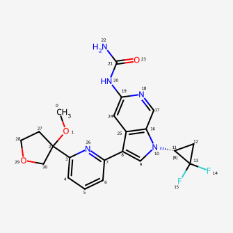 COC1(c2cccc(-c3cn([C@@H]4CC4(F)F)c4cnc(NC(N)=O)cc34)n2)CCOC1